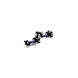 CC[C@H](OC)[C@@H](C)[C@@H]1O[C@H]1[C@H](O)[C@@H](C)/C=C/C=C(\C)[C@@H]1O[C@H](OC)[C@H](OC)[C@@H](OCCC[C@H](OC)[C@@H](C)[C@@H]2O[C@H]2[C@H](O)[C@@H](C)/C=C/C=C(\C)[C@@H]2O[C@@H](OC)[C@H](OC)[C@@H](OC)[C@@H]2OC)[C@@H]1OC